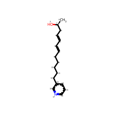 C[C@H](O)C/C=C/C=C/CCCCCc1cccnc1